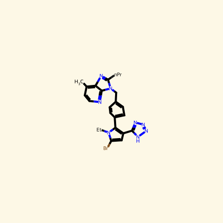 CCCc1nc2c(C)ccnc2n1Cc1ccc(-c2c(-c3nnn[nH]3)cc(Br)n2CC)cc1